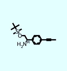 CC#Cc1ccc([C@@H](N)CO[Si](C)(C)C(C)(C)C)cc1